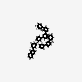 c1cc(-c2cccc(N(c3cccc(-c4ccc5ccccc5c4)c3)c3cccc(-c4ccc5sc6ccccc6c5c4)c3)c2)cc(-c2cccc3c2sc2ccccc23)c1